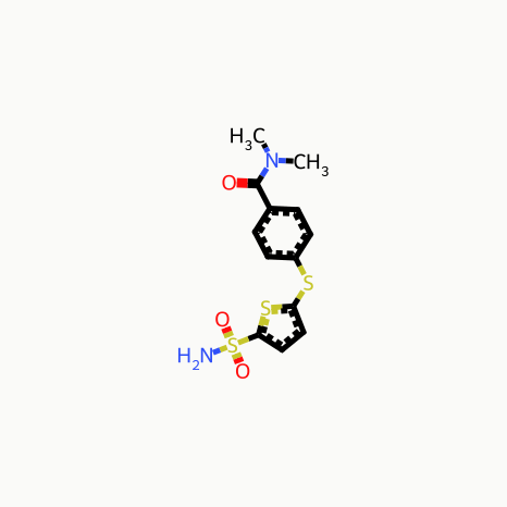 CN(C)C(=O)c1ccc(Sc2ccc(S(N)(=O)=O)s2)cc1